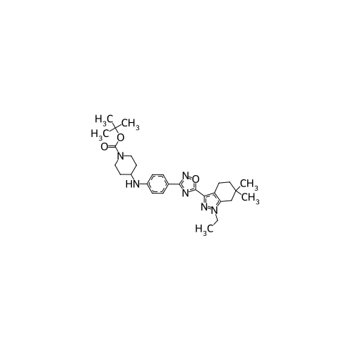 CCn1nc(-c2nc(-c3ccc(NC4CCN(C(=O)OC(C)(C)C)CC4)cc3)no2)c2c1CC(C)(C)CC2